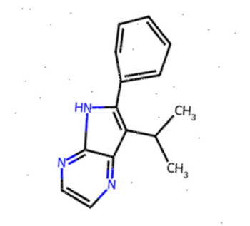 CC(C)c1c(-c2ccccc2)[nH]c2nccnc12